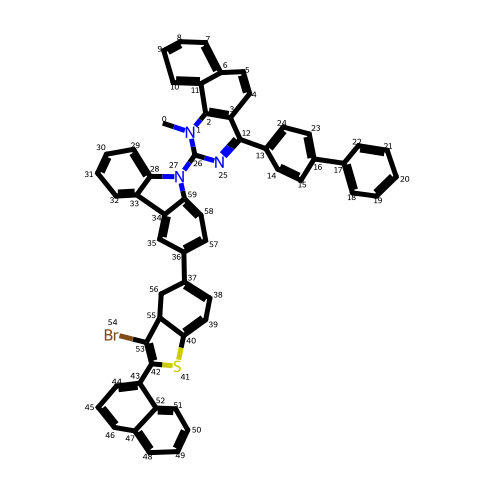 CN1c2c(ccc3ccccc23)C(c2ccc(-c3ccccc3)cc2)=NC1n1c2ccccc2c2cc(C3=CC=C4SC(c5cccc6ccccc56)=C(Br)C4C3)ccc21